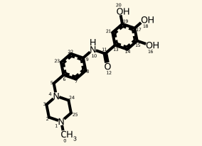 CN1CCN(Cc2ccc(NC(=O)c3cc(O)c(O)c(O)c3)cc2)CC1